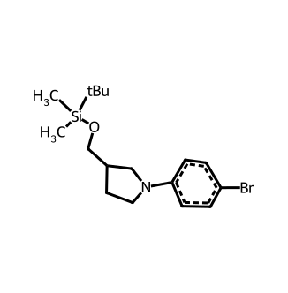 CC(C)(C)[Si](C)(C)OCC1CCN(c2ccc(Br)cc2)C1